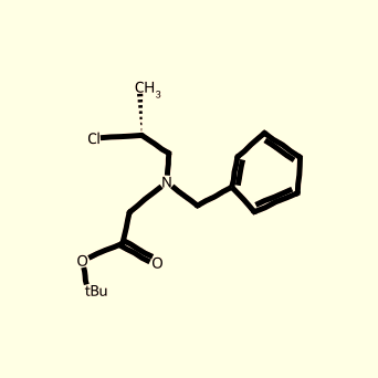 C[C@@H](Cl)CN(CC(=O)OC(C)(C)C)Cc1ccccc1